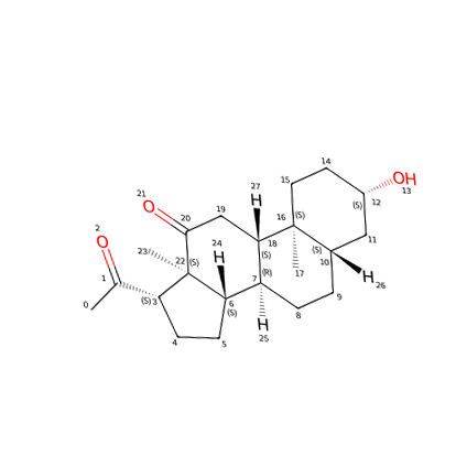 CC(=O)[C@H]1CC[C@H]2[C@@H]3CC[C@H]4C[C@@H](O)CC[C@]4(C)[C@H]3CC(=O)[C@]12C